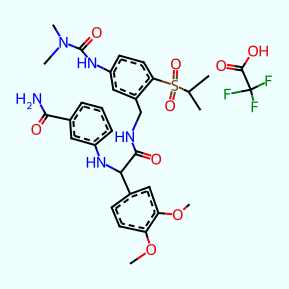 COc1ccc(C(Nc2cccc(C(N)=O)c2)C(=O)NCc2cc(NC(=O)N(C)C)ccc2S(=O)(=O)C(C)C)cc1OC.O=C(O)C(F)(F)F